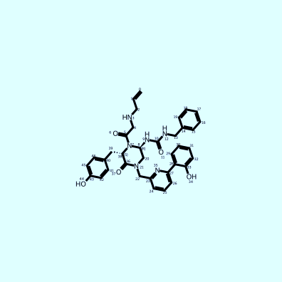 C=CCNCC(=O)N1[C@@H](NC(=O)NCc2ccccc2)CN(Cc2cccc(-c3ccccc3O)n2)C(=O)[C@@H]1Cc1ccc(O)cc1